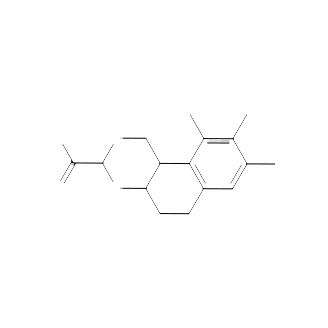 CCC(=O)C1OCC2c3c(cc(C)c(C)c3C)CCC2O1